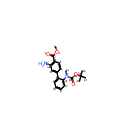 COC(=O)c1ccc(-c2ccccc2N(C)C(=O)OC(C)(C)C)cc1N